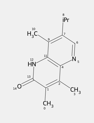 Cc1c(C)c2ncc(C(C)C)c(C)c2[nH]c1=O